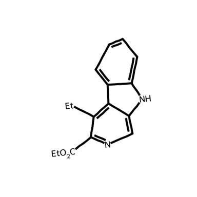 CCOC(=O)c1ncc2[nH]c3ccccc3c2c1CC